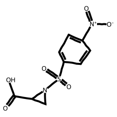 O=C(O)C1CN1S(=O)(=O)c1ccc([N+](=O)[O-])cc1